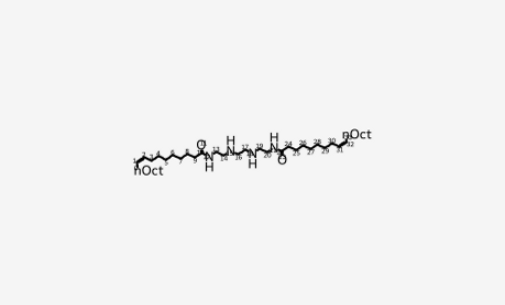 CCCCCCCC/C=C\CCCCCCCC(=O)NCCNCCNCCNC(=O)CCCCCCC/C=C\CCCCCCCC